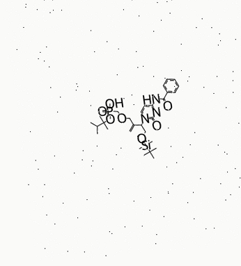 C=C(COCP(=O)(O)OC(C)(C)C(C)C)C(CO[Si](C)(C)C(C)(C)C)n1ccc(NC(=O)c2ccccc2)nc1=O